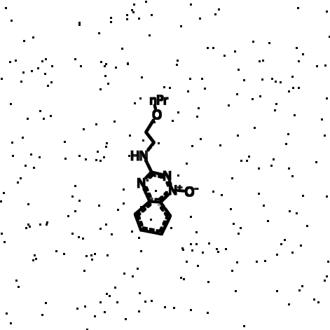 CCCOCCNc1nc2ccccc2[n+]([O-])n1